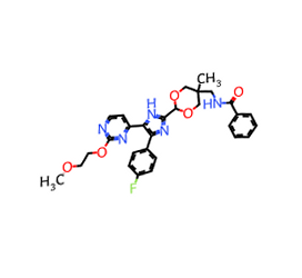 COCCOc1nccc(-c2[nH]c(C3OCC(C)(CNC(=O)c4ccccc4)CO3)nc2-c2ccc(F)cc2)n1